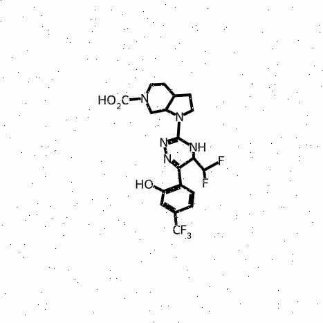 O=C(O)N1CCC2CCN(C3=NN=C(c4ccc(C(F)(F)F)cc4O)C(C(F)F)N3)C2C1